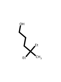 CCC(C)(CC)CCCO